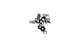 CC(=O)OC[C@@H]1OC(N2CCc3cc(Cl)ccc32)[C@H](CC(=O)O)[C@@H](N=[N+]=[N-])[C@H]1CC(=O)O